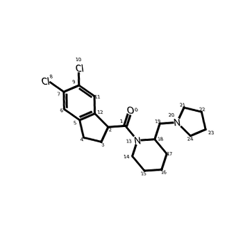 O=C(C1CCc2cc(Cl)c(Cl)cc21)N1CCCCC1CN1CCCC1